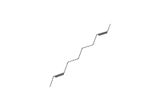 CC=CCCCCC=CC(C)=O